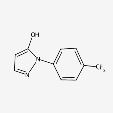 Oc1ccnn1-c1ccc(C(F)(F)F)cc1